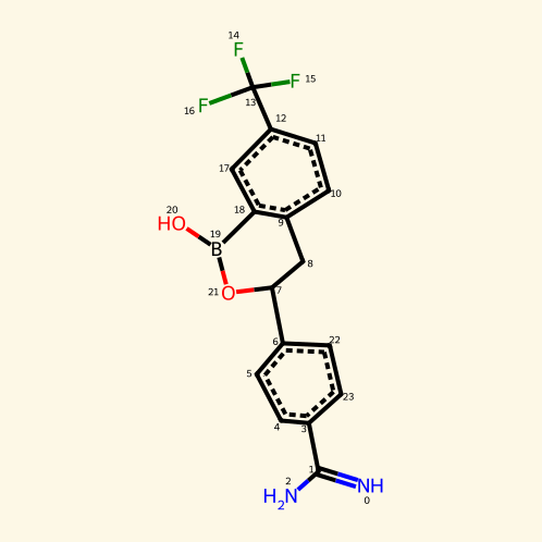 N=C(N)c1ccc(C2Cc3ccc(C(F)(F)F)cc3B(O)O2)cc1